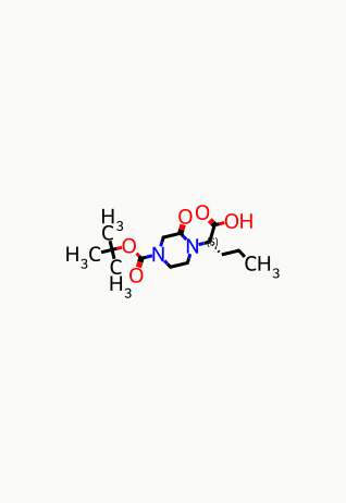 CCC[C@@H](C(=O)O)N1CCN(C(=O)OC(C)(C)C)CC1=O